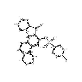 Cc1ccc(S(=O)(=O)Oc2nc3c(ccc4ccccc43)c3c2C(=O)c2cnccc2-3)cc1